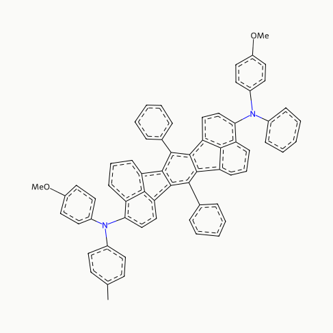 COc1ccc(N(c2ccccc2)c2ccc3c4c(-c5ccccc5)c5c6cccc7c(N(c8ccc(C)cc8)c8ccc(OC)cc8)ccc(c5c(-c5ccccc5)c4c4cccc2c43)c76)cc1